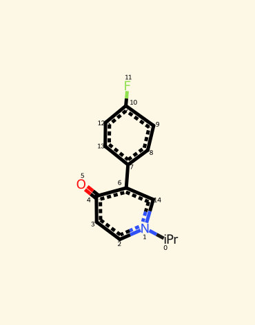 CC(C)n1ccc(=O)c(-c2ccc(F)cc2)c1